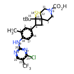 Cc1cc(C2CC3(CCN(C(=O)O)CC3)C2(S)C(C)(C)C)ccc1Nc1ncc(C(F)(F)F)c(Cl)n1